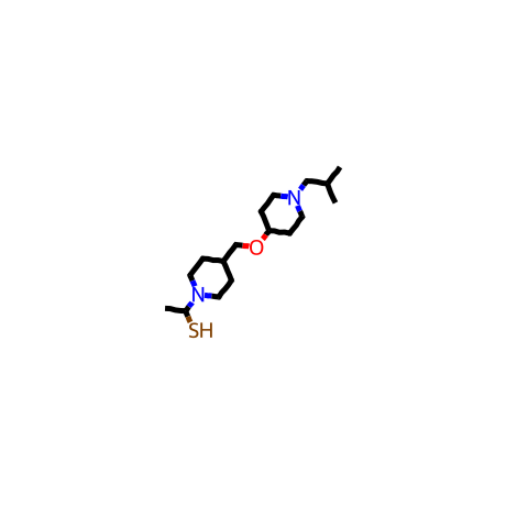 CC(C)CN1CCC(OCC2CCN(C(C)S)CC2)CC1